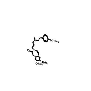 COc1cc2c(cc1OC)CC(=O)N(CCCN(C)CCc1ccc(NC(C)=O)cc1)C=C2